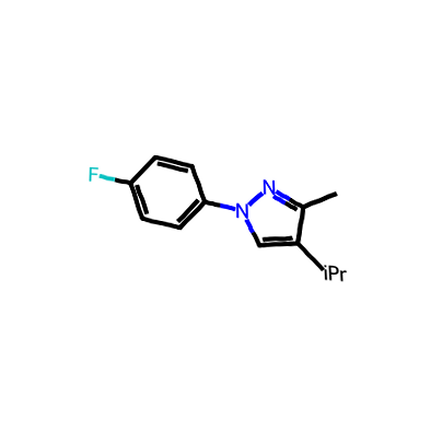 Cc1nn(-c2ccc(F)cc2)cc1C(C)C